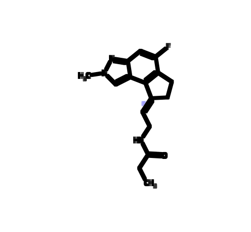 CCC(=O)NC/C=C1\CCc2c(F)cc3nn(C)cc3c21